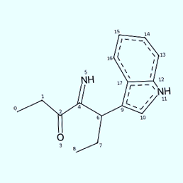 CCC(=O)C(=N)C(CC)c1c[nH]c2ccccc12